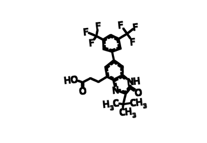 CC(C)(C)c1nc2c(CCC(=O)O)cc(-c3cc(C(F)(F)F)cc(C(F)(F)F)c3)cc2[nH]c1=O